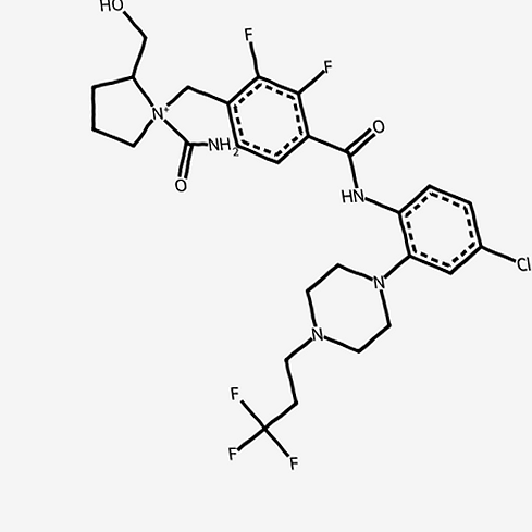 NC(=O)[N+]1(Cc2ccc(C(=O)Nc3ccc(Cl)cc3N3CCN(CCC(F)(F)F)CC3)c(F)c2F)CCCC1CO